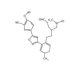 CCN(C)CC(CCC=O)CCC1=CCC(C)C=C1c1noc(-c2ccc(OC(C)C)c(C#N)c2)n1